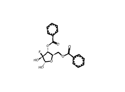 O=C(OC[C@H]1O[C@H](O)[C@](O)(F)[C@@H]1OC(=O)c1ccccc1)c1ccccc1